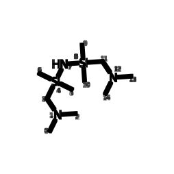 CN(C)C[Si](C)(C)N[Si](C)(C)CN(C)C